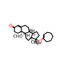 CCCCC1(OC2=CCCCCC2)CC[C@H]2[C@@H]3CCC4=CC(=O)CC[C@]4(C=O)[C@@H]3CC[C@@]21C